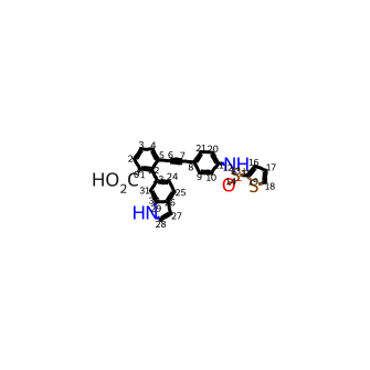 O=C(O)c1cccc(C#Cc2ccc(N[S+]([O-])c3cccs3)cc2)c1-c1ccc2cc[nH]c2c1